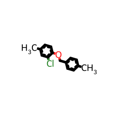 Cc1ccc(COc2ccc(C)cc2Cl)cc1